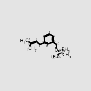 CC(C)=CCc1cccc(CO[Si](C)(C)C(C)(C)C)c1